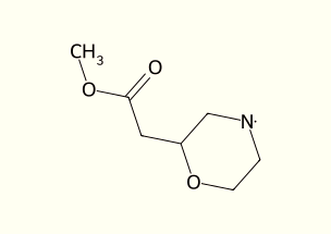 COC(=O)CC1C[N]CCO1